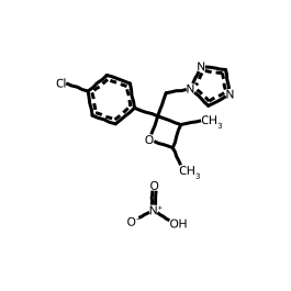 CC1OC(Cn2cncn2)(c2ccc(Cl)cc2)C1C.O=[N+]([O-])O